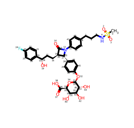 CS(=O)(=O)NCCCc1ccc(N2C(=O)[C@H](CC[C@H](O)c3ccc(F)cc3)[C@H]2c2ccc(O[C@@H]3O[C@H](C(=O)O)[C@@H](O)[C@H](O)[C@H]3O)cc2)cc1